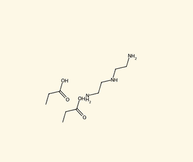 CCC(=O)O.CCC(=O)O.NCCNCCN